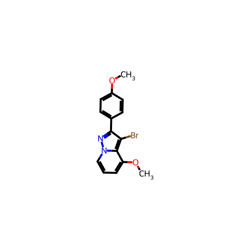 COc1ccc(-c2nn3cccc(OC)c3c2Br)cc1